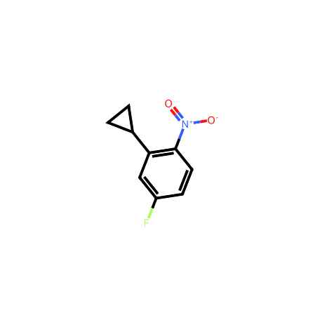 O=[N+]([O-])c1ccc(F)cc1C1CC1